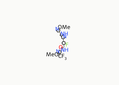 COc1cc(-c2cc3cc(-c4ccc(CC(=O)Nc5cnc(OC)c(C(F)(F)F)c5)c(F)c4)cnc3[nH]2)ccn1